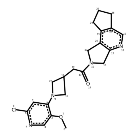 COc1cnc(Cl)cc1N1CC(CC(=O)N2Cc3ncc4c(c3C2)CCC4)C1